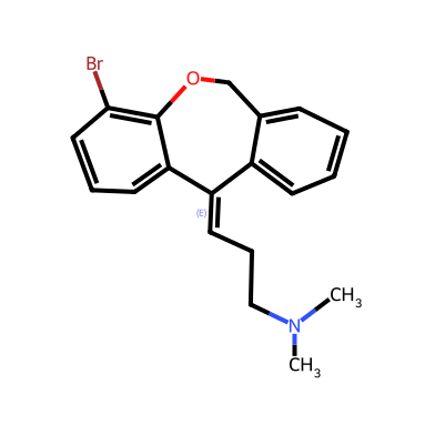 CN(C)CC/C=C1\c2ccccc2COc2c(Br)cccc21